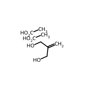 C=C(CO)CO.CC(=O)O.CC(=O)O